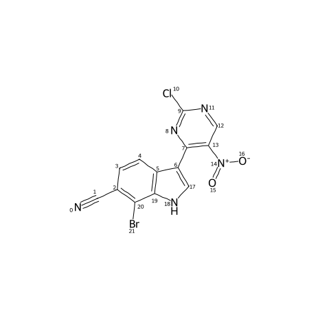 N#Cc1ccc2c(-c3nc(Cl)ncc3[N+](=O)[O-])c[nH]c2c1Br